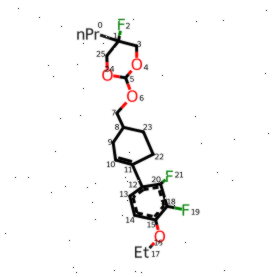 CCCC1(F)COC(OCC2CC=C(c3ccc(OCC)c(F)c3F)CC2)OC1